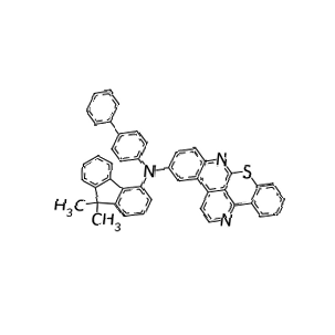 CC1(C)c2ccccc2-c2c(N(c3ccc(-c4ccccc4)cc3)c3ccc4nc5c6c(nccc6c4c3)-c3ccccc3S5)cccc21